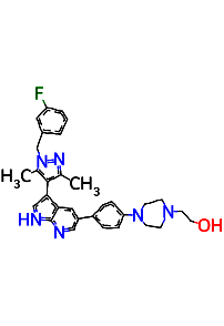 Cc1nn(Cc2cccc(F)c2)c(C)c1-c1c[nH]c2ncc(-c3ccc(N4CCN(CCO)CC4)cc3)cc12